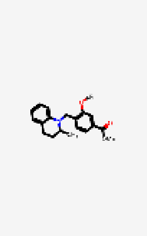 COC(=O)c1ccc(CN2c3ccccc3CCC2C)c(OC(C)C)c1